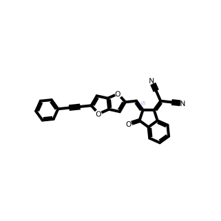 N#CC(C#N)=C1/C(=C/c2cc3oc(C#Cc4ccccc4)cc3o2)C(=O)c2ccccc21